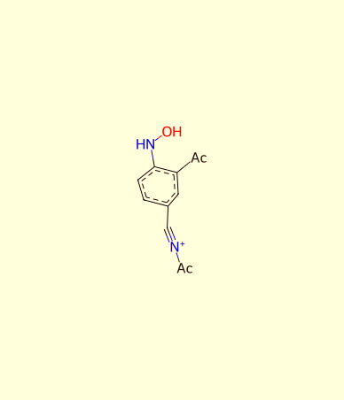 CC(=O)[N+]#Cc1ccc(NO)c(C(C)=O)c1